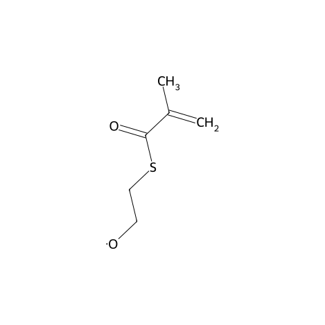 C=C(C)C(=O)SCC[O]